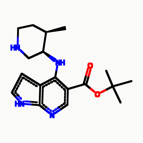 C[C@@H]1CCNC[C@@H]1Nc1c(C(=O)OC(C)(C)C)cnc2[nH]ccc12